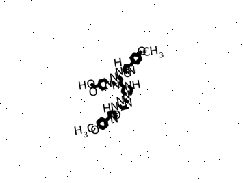 COc1ccc(-c2cc(Nc3ccnc(N4CCNC(c5cc(Nc6cc(-c7ccc(OC)cc7)no6)nc(N6CCC(C(=O)O)CC6)n5)C4)n3)on2)cc1